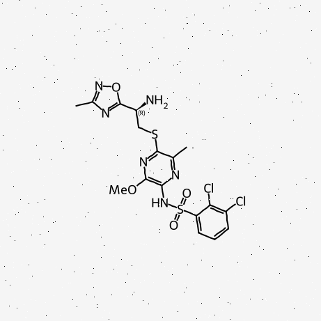 COc1nc(SC[C@H](N)c2nc(C)no2)c(C)nc1NS(=O)(=O)c1cccc(Cl)c1Cl